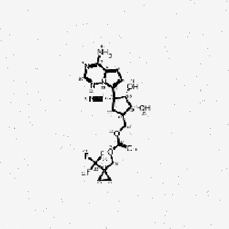 N#C[C@@]1(c2ccc3c(N)ncnn23)C[C@H](COC(=O)OCC2(C(F)(F)F)CC2)[C@@H](O)[C@H]1O